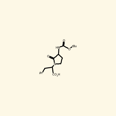 CC(C)CC(C(=O)O)N1CCC(NC(=O)OC(C)(C)C)C1=O